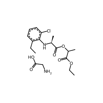 CCOC(=O)C(C)OC(=O)[C@H](C)Nc1c(Cl)cccc1CC.NCC(=O)O